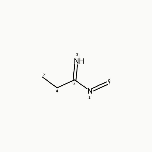 [C]=NC(=N)CC